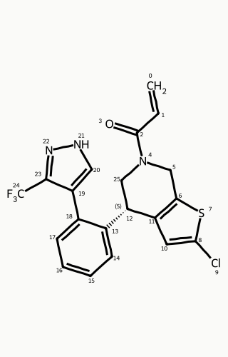 C=CC(=O)N1Cc2sc(Cl)cc2[C@H](c2ccccc2-c2c[nH]nc2C(F)(F)F)C1